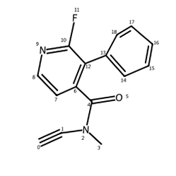 C#CN(C)C(=O)c1ccnc(F)c1-c1ccccc1